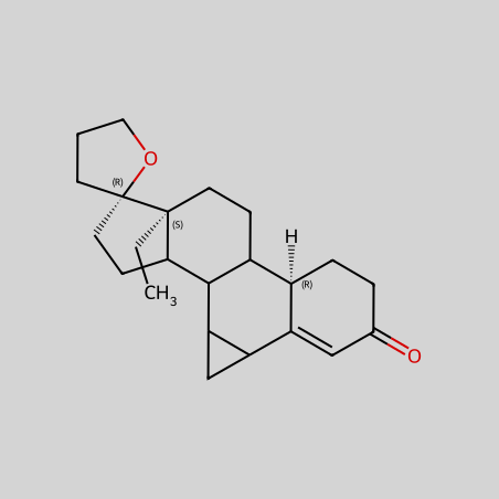 CC[C@]12CCC3C(C4CC4C4=CC(=O)CC[C@@H]43)C1CC[C@@]21CCCO1